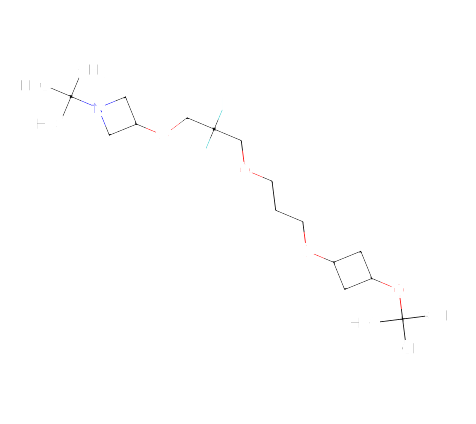 CC(C)(C)OC1CC(OCCCOCC(F)(F)COC2CN(C(C)(C)C)C2)C1